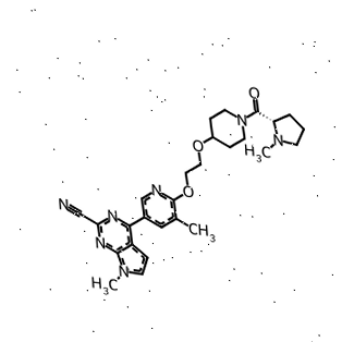 Cc1cc(-c2nc(C#N)nc3c2ccn3C)cnc1OCCOC1CCN(C(=O)[C@@H]2CCCN2C)CC1